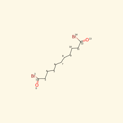 O=C(Br)CCCCCCCCCC(=O)Br